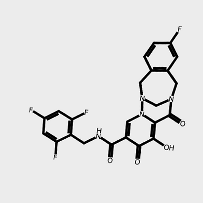 O=C(NCc1c(F)cc(F)cc1F)c1cn2c(c(O)c1=O)C(=O)N1Cc3cc(F)ccc3CN2C1